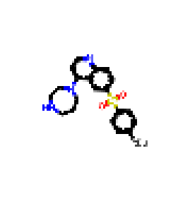 CC(C)(C)c1ccc(S(=O)(=O)c2ccc3nccc(N4CCCNCC4)c3c2)cc1